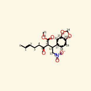 C/C=C/CCC(=O)C(C(=O)OC)C(C[N+](=O)[O-])c1ccc2c(c1)OCO2